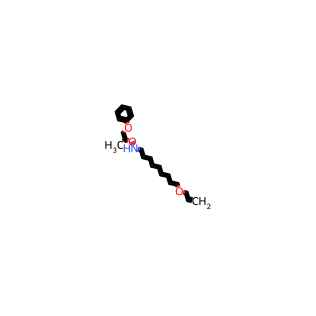 C=CCOCCCCCCCCCNOC(C)COc1ccccc1